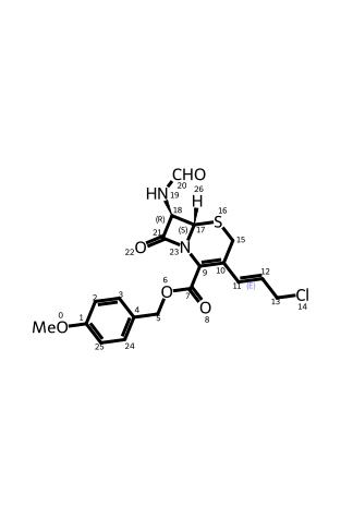 COc1ccc(COC(=O)C2=C(/C=C/CCl)CS[C@H]3[C@H](NC=O)C(=O)N23)cc1